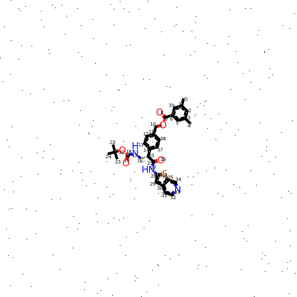 Cc1cc(C)cc(C(=O)OCc2ccc([C@@H](CNC(=O)OC(C)(C)C)C(=O)Nc3cc4ccncc4s3)cc2)c1